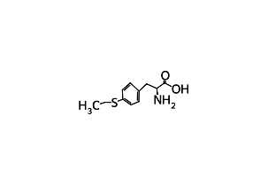 CCSc1ccc(C[C@H](N)C(=O)O)cc1